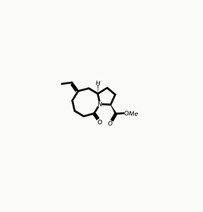 C/C=C1\CCCC(=O)N2[C@H](CC[C@H]2C(=O)OC)C1